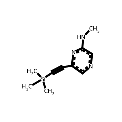 CNc1cncc(C#C[Si](C)(C)C)n1